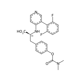 CN(C)C(=O)Oc1ccc(C[C@H](Nc2ccncc2-c2c(F)cccc2F)C(=O)O)cc1